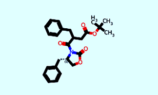 CC(C)(C)OC(=O)CC(Cc1ccccc1)C(=O)N1C(=O)OC[C@@H]1Cc1ccccc1